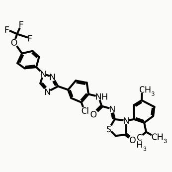 Cc1ccc(C(C)C)c(N2C(=O)CS/C2=N\C(=O)Nc2ccc(-c3ncn(-c4ccc(OC(F)(F)F)cc4)n3)cc2Cl)c1